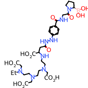 CCN(CCN(CCN(CCNC(CC(=O)NNc1ccc(C(=O)NCC(=O)N2CCC[C@H]2B(O)O)cc1)C(=O)O)CC(=O)O)CC(=O)O)CC(=O)O